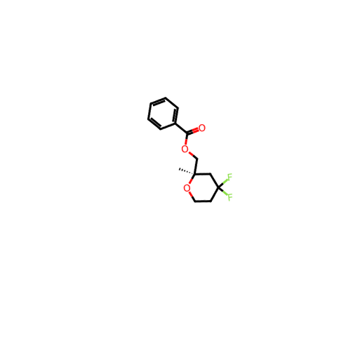 C[C@]1(COC(=O)c2ccccc2)CC(F)(F)CCO1